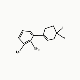 Cc1cccc(C2=CCC(F)(F)CC2)c1N